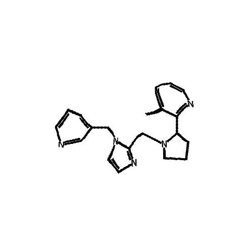 Cc1cccnc1C1CCCN1Cc1nccn1Cc1cccnc1